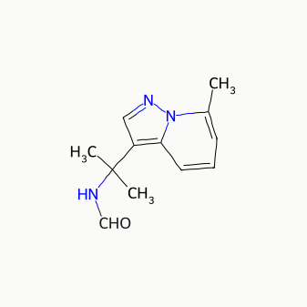 Cc1cccc2c(C(C)(C)NC=O)cnn12